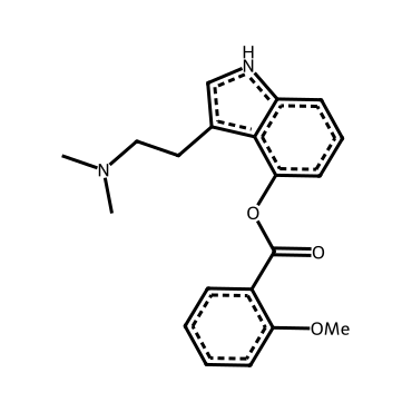 COc1ccccc1C(=O)Oc1cccc2[nH]cc(CCN(C)C)c12